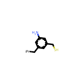 CC(C)Cc1cc(N)cc(CS)c1